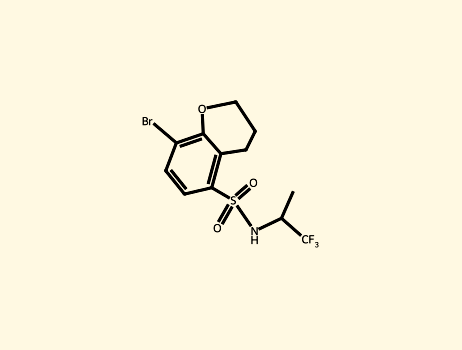 CC(NS(=O)(=O)c1ccc(Br)c2c1CCCO2)C(F)(F)F